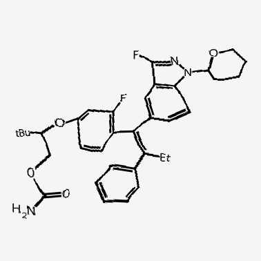 CC/C(=C(\c1ccc2c(c1)c(F)nn2C1CCCCO1)c1ccc(OC(COC(N)=O)C(C)(C)C)cc1F)c1ccccc1